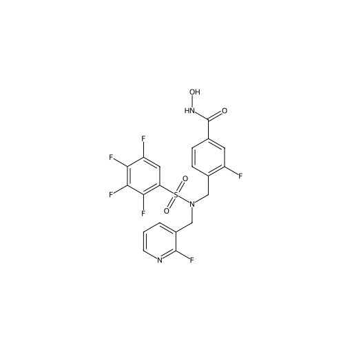 O=C(NO)c1ccc(CN(Cc2cccnc2F)S(=O)(=O)c2cc(F)c(F)c(F)c2F)c(F)c1